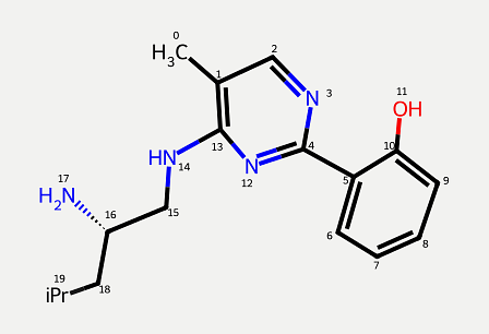 Cc1cnc(-c2ccccc2O)nc1NC[C@@H](N)CC(C)C